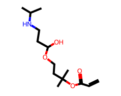 C=CC(=O)OC(C)(C)CCOC(O)CCNC(C)C